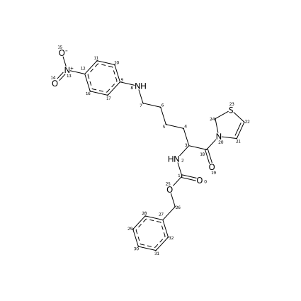 O=C(NC(CCCCNc1ccc([N+](=O)[O-])cc1)C(=O)N1C=CSC1)OCc1ccccc1